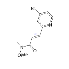 CON(C)C(=O)/C=C/c1cc(Br)ccn1